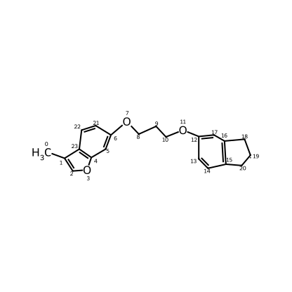 Cc1coc2cc(OCCCOc3ccc4c(c3)C[CH]C4)ccc12